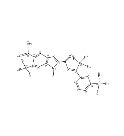 Cn1c(C(=O)C=C(c2cccc(C(F)(F)F)c2)C(F)(F)F)cc2cc(C(=O)O)c(C(F)(F)F)cc21